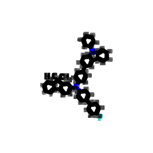 CC1(C)c2ccccc2-c2ccc(N(c3ccc(-c4ccc(F)cc4)cc3)c3ccc(-c4ccc5c(c4)c4ccccc4n5-c4ccccc4)cc3)cc21